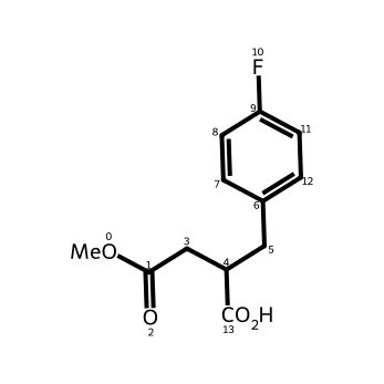 COC(=O)CC(Cc1ccc(F)cc1)C(=O)O